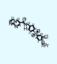 CCCOc1ccc(S(=O)(=O)c2ccc(CNC(=O)c3cnc4nccn4c3)cc2)cc1Cl